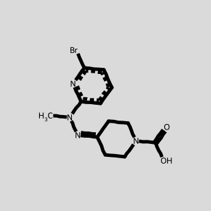 CN(N=C1CCN(C(=O)O)CC1)c1cccc(Br)n1